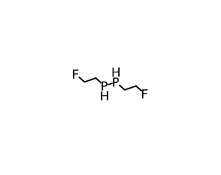 FCCPPCCF